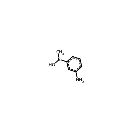 CB(O)c1cccc(N)c1